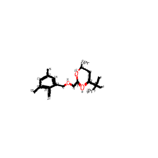 CCCC1CC(C(C)(C)C(C)C)OC(COCc2cc(C)cc(C)c2C)O1